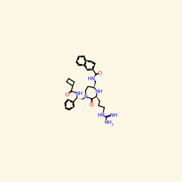 N=C(N)NCCC[C@@H]1N[C@H](CNC(=O)c2ccc3ccccc3c2)CCN(C[C@@H](NC(=O)C2CCC2)c2ccccc2)C1=O